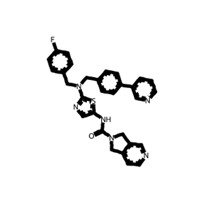 O=C(Nc1cnc(N(Cc2ccc(F)cc2)Cc2ccc(-c3cccnc3)cc2)s1)N1Cc2ccncc2C1